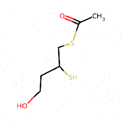 CC(=O)SCC(S)CCO